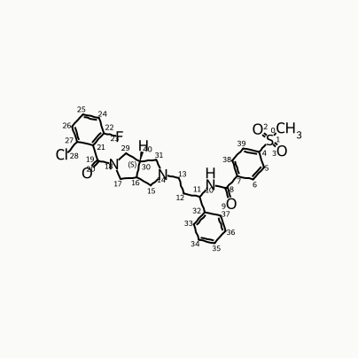 CS(=O)(=O)c1ccc(C(=O)NC(CCN2CC3CN(C(=O)c4c(F)cccc4Cl)C[C@@H]3C2)c2ccccc2)cc1